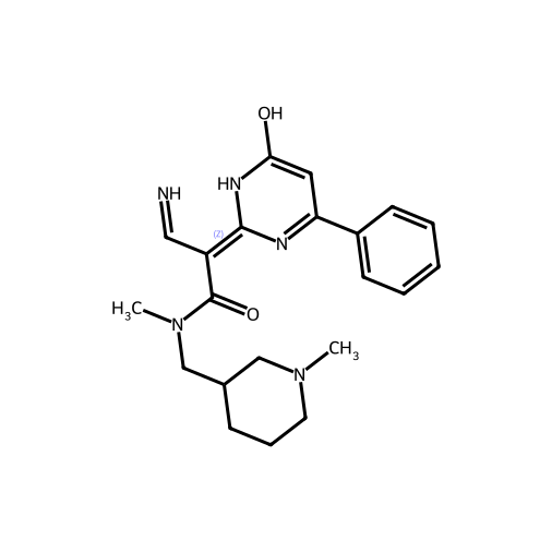 CN1CCCC(CN(C)C(=O)/C(C=N)=C2\N=C(c3ccccc3)C=C(O)N2)C1